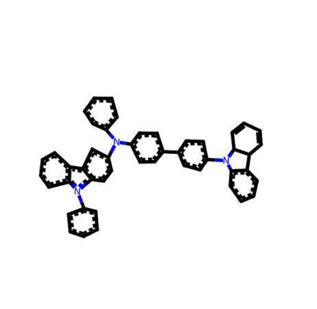 C1=CC2c3ccccc3N(c3ccc(-c4ccc(N(c5ccccc5)c5ccc6c(c5)c5ccccc5n6-c5ccccc5)cc4)cc3)C2C=C1